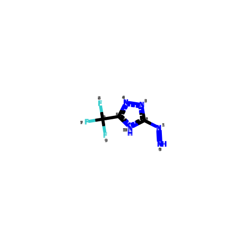 N=Nc1nnc(C(F)(F)F)[nH]1